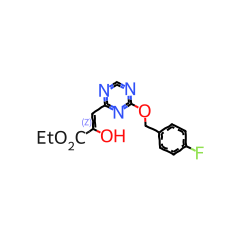 CCOC(=O)/C(O)=C/c1ncnc(OCc2ccc(F)cc2)n1